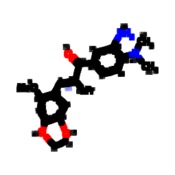 CCC/C(=C\c1cc2c(cc1OC)OCCO2)C(=O)c1ccc(N(C)C)c(N)c1